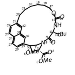 COC(=O)[C@@H]1C[C@]2(OC)CN1C(=O)[C@H](C(C)(C)C)NC(=O)OCCCCCCc1ccc3ccc2cc3c1